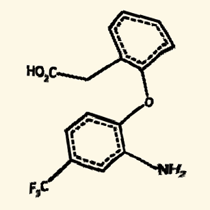 Nc1cc(C(F)(F)F)ccc1Oc1ccccc1CC(=O)O